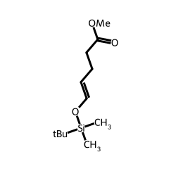 COC(=O)CCC=CO[Si](C)(C)C(C)(C)C